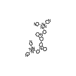 CN/C(=N\C(=N/Cc1ccncc1)c1cccc(-n2c3ccccc3c3cc(-c4ccc5c(c4)c4ccccc4n5-c4cccc(-c5nc(-c6ccncc6)nc(-c6ccncc6)n5)c4)ccc32)c1)c1ccncc1